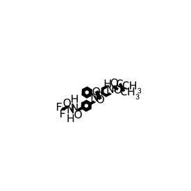 CC(C)(C)OC(=O)N1CCC(S(=O)(=O)N(Cc2ccc(C(=O)NNC(=O)C(F)F)cc2)c2ccccc2)CC1